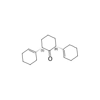 O=C1[C@H](C2=CCCCC2)CCC[C@@H]1C1=CCCCC1